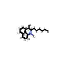 CCCCCCC1C(C)c2cccc3cccc(c23)N1C